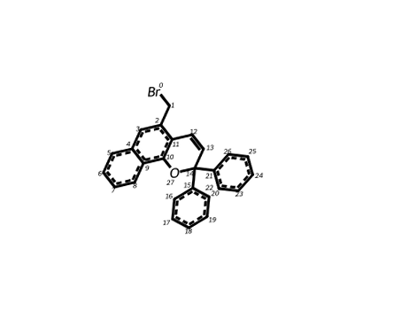 BrCc1cc2ccccc2c2c1C=CC(c1ccccc1)(c1ccccc1)O2